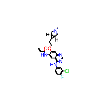 C=CC(=O)Nc1cc2c(Nc3ccc(F)c(Cl)c3)ncnc2cc1OCCC1[C@H]2CN(C)C[C@@H]12